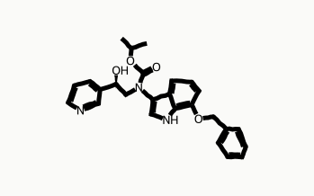 CC(C)OC(=O)N(C[C@H](O)c1cccnc1)c1c[nH]c2c(OCc3ccccc3)cccc12